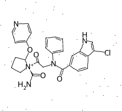 NC(=O)[N@@+]1(C(=O)CN(C(=O)c2ccc3c(Cl)c[nH]c3c2)c2ccccc2)CCCC1Oc1ccncc1